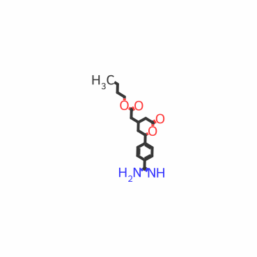 CCCCOC(=O)CC1CC(=O)OC(c2ccc(C(=N)N)cc2)C1